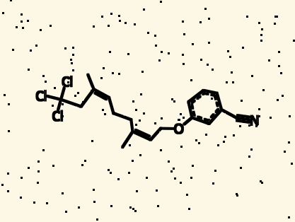 CC(=CCOc1cccc(C#N)c1)CCC=C(C)CC(Cl)(Cl)Cl